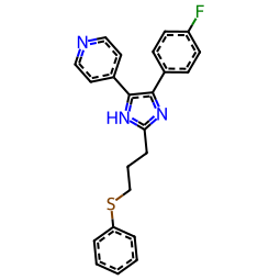 Fc1ccc(-c2nc(CCCSc3ccccc3)[nH]c2-c2ccncc2)cc1